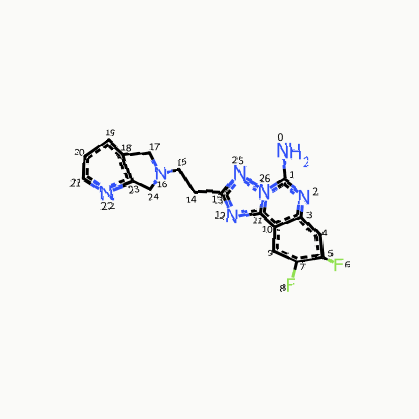 Nc1nc2cc(F)c(F)cc2c2nc(CCN3Cc4cccnc4C3)nn12